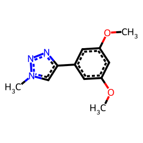 COc1cc(OC)cc(-c2cn(C)nn2)c1